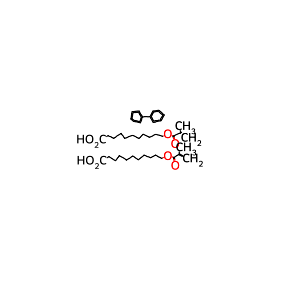 C=C(C)C(=O)OCCCCCCCCCCC(=O)O.C=C(C)C(=O)OCCCCCCCCCCC(=O)O.c1ccc(-c2ccccc2)cc1